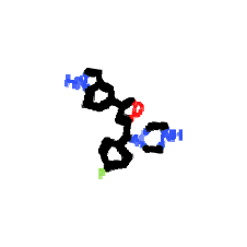 Fc1ccc(C(c2cc(-c3ccc4[nH]ccc4c3)co2)N2CCNCC2)cc1